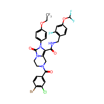 O=C(NCc1ccc(OC(F)F)cc1F)c1c2n(c(=O)n1-c1ccc(OCC(F)(F)F)cc1)CCN(C(=O)c1ccc(Br)c(Cl)c1)C2